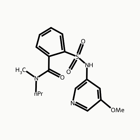 CCCN(C)C(=O)c1ccccc1S(=O)(=O)Nc1cncc(OC)c1